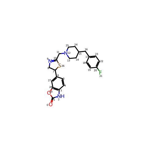 O=c1[nH]c2ccc(C3CN=C(CN4CCC(Cc5ccc(F)cc5)CC4)S3)cc2o1